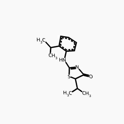 CC(C)c1ccccc1NC1=NC(=O)C(C(C)C)S1